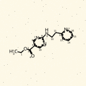 CCOC(=O)c1cnc(NCCc2ccccn2)nc1